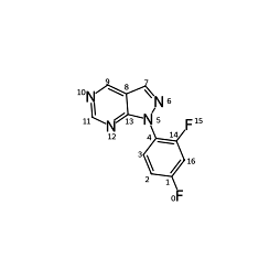 Fc1ccc(-n2ncc3cncnc32)c(F)c1